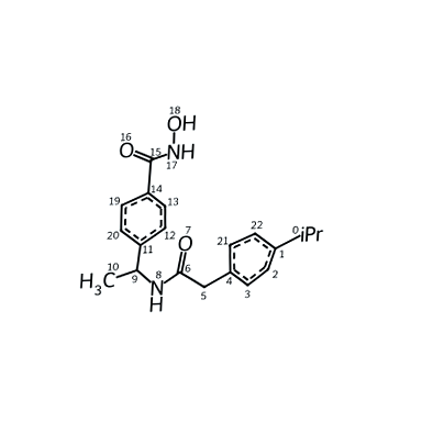 CC(C)c1ccc(CC(=O)NC(C)c2ccc(C(=O)NO)cc2)cc1